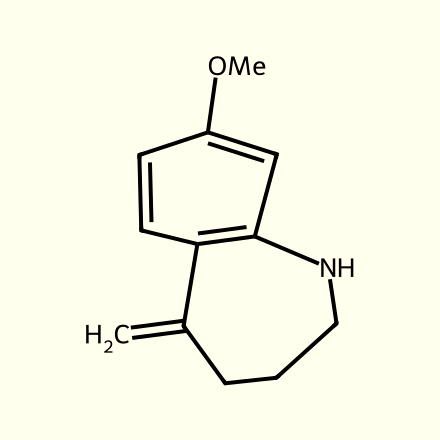 C=C1CCCNc2cc(OC)ccc21